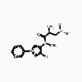 CC(C[S@+]([O-])C(C)C)C(=O)N(C)c1cn(-c2cccnc2)nc1Cl